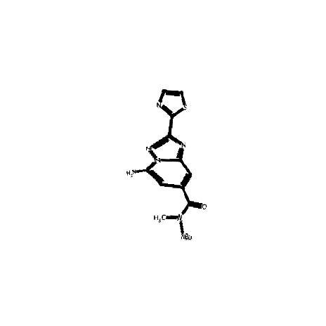 CCCCN(C)C(=O)c1cc(N)n2nc(-c3nccs3)nc2c1